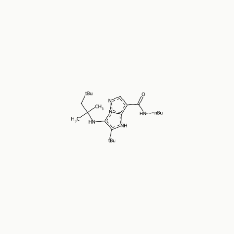 CCCCNC(=O)c1cnn2c(NC(C)(C)CC(C)(C)C)c(C(C)(C)C)[nH]c12